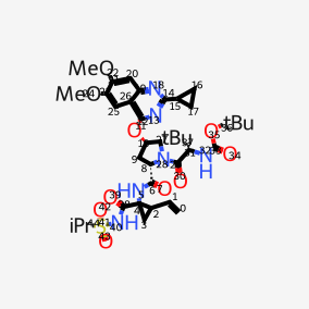 C=CC1CC1(NC(=O)[C@@H]1C[C@@H](Oc2nc(C3CC3)nc3cc(OC)c(OC)cc23)CN1C(=O)[C@@H](NC(=O)OC(C)(C)C)C(C)(C)C)C(=O)NS(=O)(=O)C(C)C